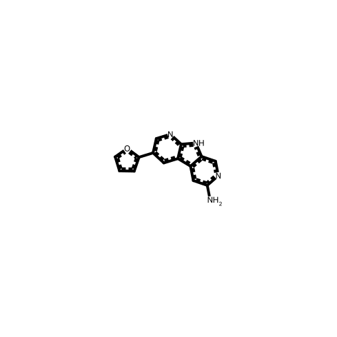 Nc1cc2c(cn1)[nH]c1ncc(-c3ccco3)cc12